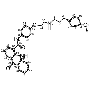 COc1ccc(CCCNCCOc2ccc(NC(=O)c3cccc4c(=O)c5ccccc5[nH]c34)cc2)cc1